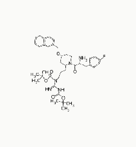 CC(C)(C)OC(=O)NC(=N)N(CCCC1CC(OCc2ccc3ccccc3c2)CCN1C(=O)C(N)Cc1ccc(F)cc1)C(=O)OC(C)(C)C